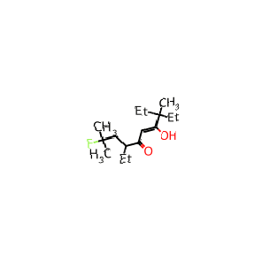 CCC(CC(C)(C)F)C(=O)/C=C(\O)C(C)(CC)CC